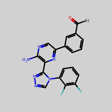 CCC(=O)c1cccc(-c2cnc(N)c(-c3nncn3-c3cccc(F)c3F)n2)c1